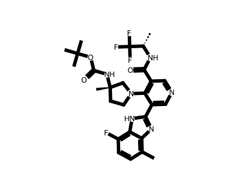 Cc1ccc(F)c2[nH]c(-c3cncc(C(=O)N[C@@H](C)C(F)(F)F)c3N3CC[C@](C)(NC(=O)OC(C)(C)C)C3)nc12